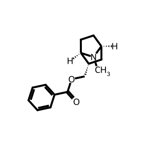 CN1[C@H]2CC[C@@H]1[C@@H](COC(=O)c1ccccc1)C2